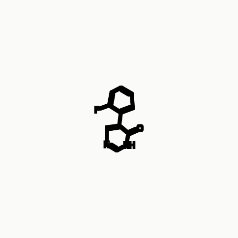 O=c1[nH]cncc1-c1ccccc1F